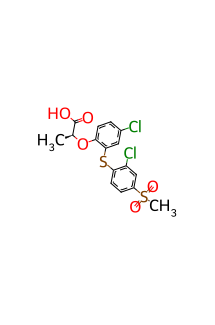 C[C@H](Oc1ccc(Cl)cc1Sc1ccc(S(C)(=O)=O)cc1Cl)C(=O)O